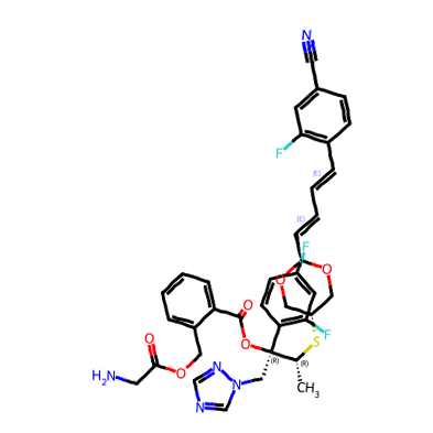 C[C@@H](S[C@H]1CO[C@H](/C=C/C=C/c2ccc(C#N)cc2F)OC1)[C@@](Cn1cncn1)(OC(=O)c1ccccc1COC(=O)CN)c1ccc(F)cc1F